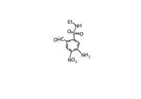 CCNS(=O)(=O)c1cc(N)c([N+](=O)[O-])cc1C=O